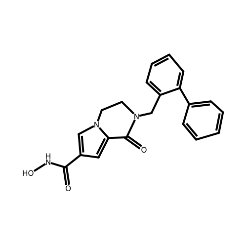 O=C(NO)c1cc2n(c1)CCN(Cc1ccccc1-c1ccccc1)C2=O